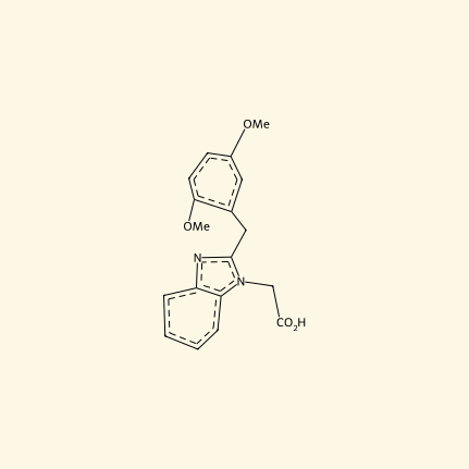 COc1ccc(OC)c(Cc2nc3ccccc3n2CC(=O)O)c1